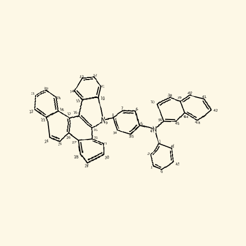 c1ccc(N(c2ccc(-n3c4ccccc4c4c5c6ccccc6ccc5c5ccccc5c43)cc2)c2ccc3ccccc3c2)cc1